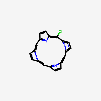 Clc1c2nc(cc3ccc(cc4nc(cc5ccc1[nH]5)C=C4)[nH]3)C=C2